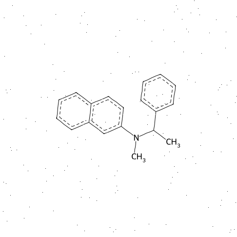 CC(c1ccccc1)N(C)c1ccc2ccccc2c1